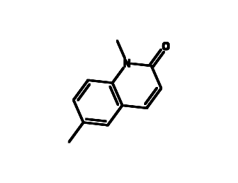 Cc1ccc2c(ccc(=O)n2C)c1